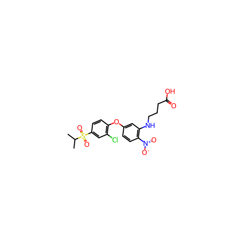 CC(C)S(=O)(=O)c1ccc(Oc2ccc([N+](=O)[O-])c(NCCCC(=O)O)c2)c(Cl)c1